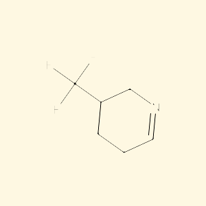 FC(F)(F)C1[C]N=CCC1